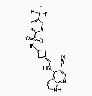 N#Cc1cnc2[nH]ccc2c1NC=C1CC(NS(=O)(=O)c2ccc(C(F)(F)F)cc2)C1